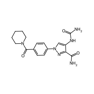 NC(=O)Nc1cn(-c2ccc(C(=O)N3CCCCC3)cc2)nc1C(N)=O